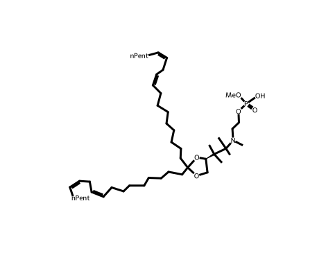 CCCCC/C=C\C/C=C\CCCCCCCCC1(CCCCCCCC/C=C\C/C=C\CCCCC)OC[C@H](C(C)(C)C(C)(C)N(C)CCOP(=O)(O)OC)O1